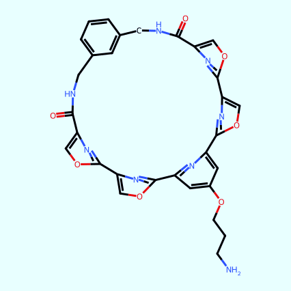 NCCCOc1cc2nc(c1)-c1nc(co1)-c1nc(co1)C(=O)NCc1cccc(c1)CNC(=O)c1coc(n1)-c1coc-2n1